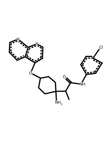 CC(C(=O)Nc1ccc(Cl)cc1)C1(N)CCC(Oc2ccnc3ncccc23)CC1